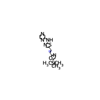 C[Si](C)(C)c1cnc(/C=C/c2cnc(Nc3cnccn3)s2)o1